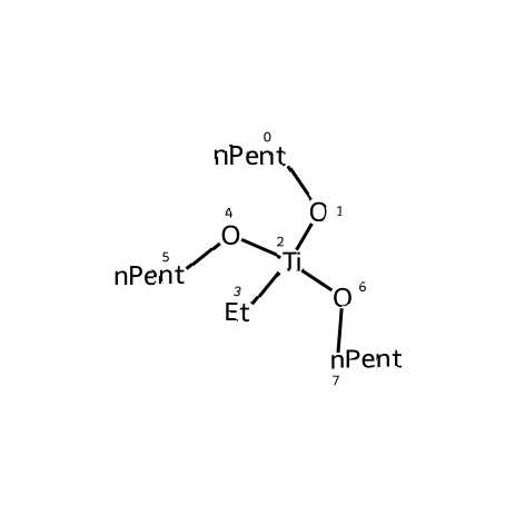 CCCCC[O][Ti]([CH2]C)([O]CCCCC)[O]CCCCC